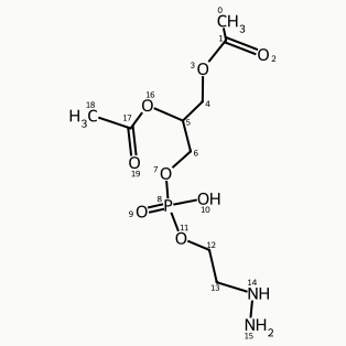 CC(=O)OCC(COP(=O)(O)OCCNN)OC(C)=O